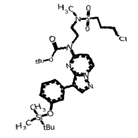 CN(CCN(C(=O)OC(C)(C)C)c1ccn2ncc(-c3cccc(O[Si](C)(C)C(C)(C)C)c3)c2n1)S(=O)(=O)CCCCl